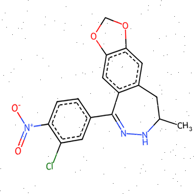 CC1Cc2cc3c(cc2C(c2ccc([N+](=O)[O-])c(Cl)c2)=NN1)OCO3